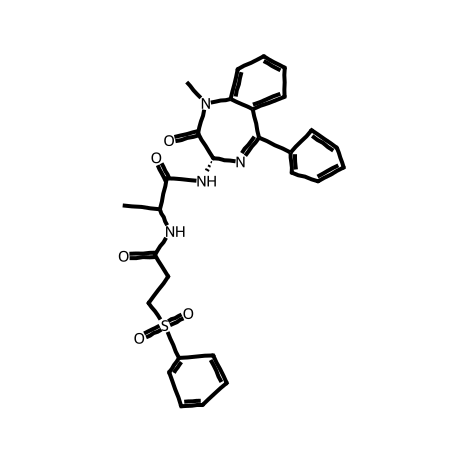 CC(NC(=O)CCS(=O)(=O)c1ccccc1)C(=O)N[C@H]1N=C(c2ccccc2)c2ccccc2N(C)C1=O